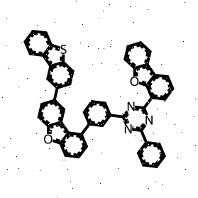 c1ccc(-c2nc(-c3cccc(-c4cccc5oc6ccc(-c7ccc8sc9ccccc9c8c7)cc6c45)c3)nc(-c3cccc4c3oc3ccccc34)n2)cc1